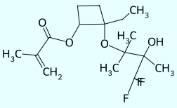 C=C(C)C(=O)OC1CCC1(CC)OC(C)(C)C(C)(O)C(F)(F)F